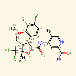 [2H]c1cnc(C(N)=O)cc1NC(=O)[C@H]1O[C@](C)(C(F)(F)F)[C@H](C)[C@@H]1c1ccc(F)c(F)c1OC